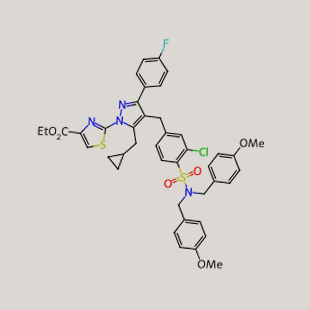 CCOC(=O)c1csc(-n2nc(-c3ccc(F)cc3)c(Cc3ccc(S(=O)(=O)N(Cc4ccc(OC)cc4)Cc4ccc(OC)cc4)c(Cl)c3)c2CC2CC2)n1